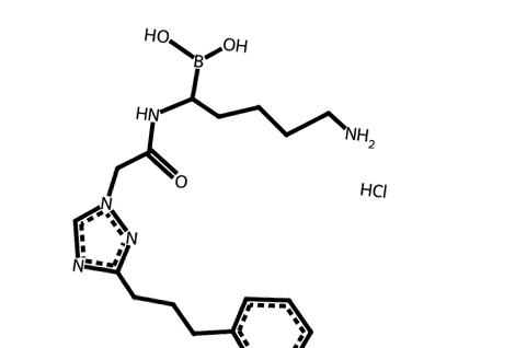 Cl.NCCCCC(NC(=O)Cn1cnc(CCCc2ccccc2)n1)B(O)O